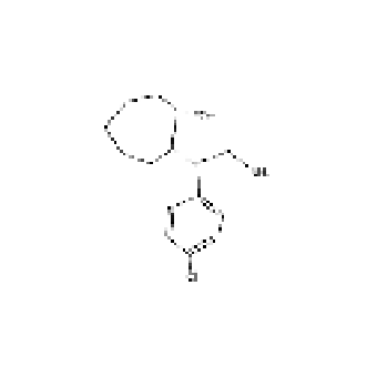 NCC(c1ccc(Cl)cc1)[C@@H]1CCCCC[C@@H]1O